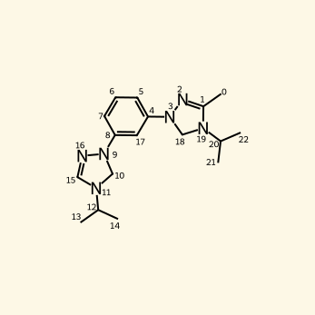 CC1=NN(c2cccc(N3CN(C(C)C)C=N3)c2)CN1C(C)C